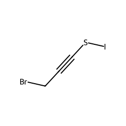 BrCC#CSI